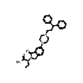 CCC(C(=O)O)N1Cc2ccc(N3CCN(CCC(c4ccccc4)c4ccccc4)CC3)cc2C1=O